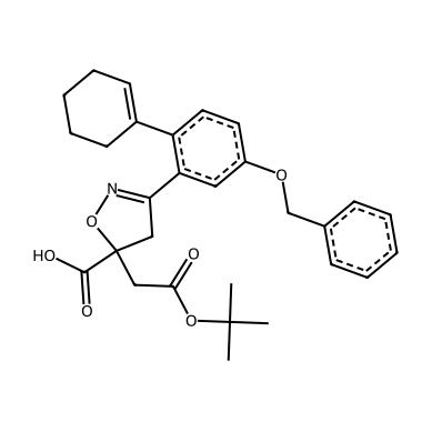 CC(C)(C)OC(=O)CC1(C(=O)O)CC(c2cc(OCc3ccccc3)ccc2C2=CCCCC2)=NO1